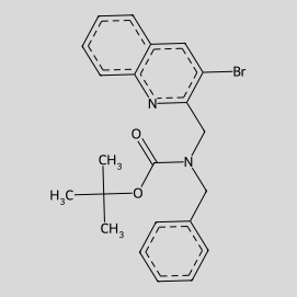 CC(C)(C)OC(=O)N(Cc1ccccc1)Cc1nc2ccccc2cc1Br